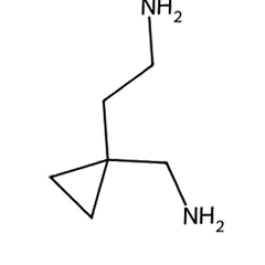 NCCC1(CN)CC1